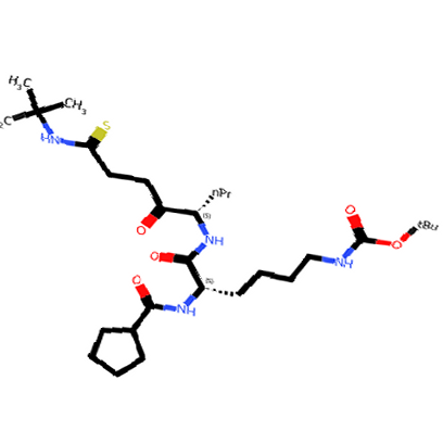 CCC[C@H](NC(=O)[C@H](CCCCNC(=O)OC(C)(C)C)NC(=O)C1CCCC1)C(=O)CCC(=S)NC(C)(C)C(=O)O